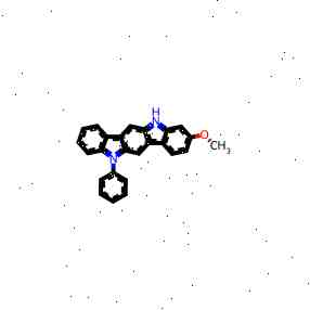 COc1ccc2c(c1)[nH]c1cc3c4ccccc4n(-c4ccccc4)c3cc12